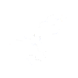 CN(C)CC1CN(Cc2cc3nc(-c4cccc5[nH]ncc45)nc(NCCO)c3s2)CCN1S(C)(=O)=O